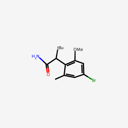 COc1cc(Br)cc(C)c1C(C(N)=O)C(C)(C)C